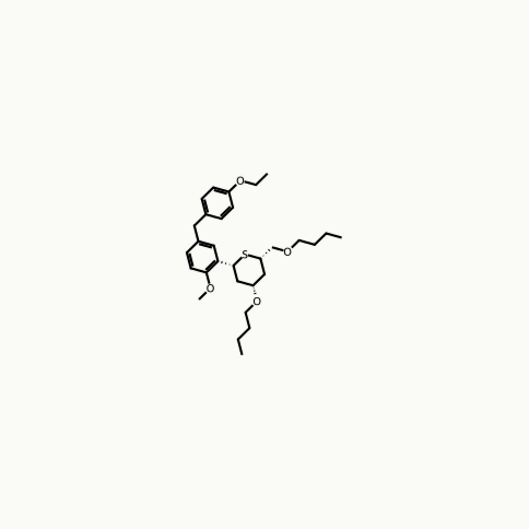 CCCCOC[C@@H]1C[C@H](OCCCC)C[C@H](c2cc(Cc3ccc(OCC)cc3)ccc2OC)S1